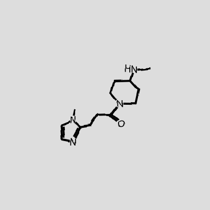 CNC1CCN(C(=O)CCc2nccn2C)CC1